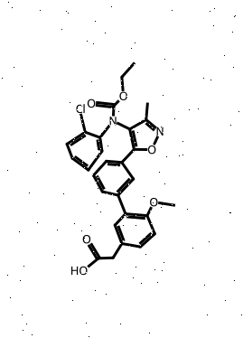 CCOC(=O)N(c1ccccc1Cl)c1c(C)noc1-c1cccc(-c2cc(CC(=O)O)ccc2OC)c1